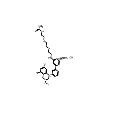 CN1Cc2c(Cl)cc(Cl)cc2[C@H](c2cccc(-c3ccnc(NCCOCCOCCNC(N)=O)c3)c2)C1.Cl.Cl.Cl.Cl.Cl